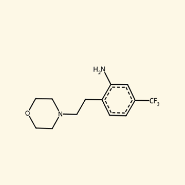 Nc1cc(C(F)(F)F)ccc1CCN1CCOCC1